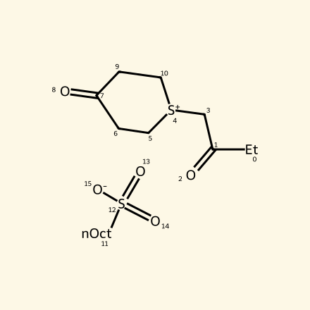 CCC(=O)C[S+]1CCC(=O)CC1.CCCCCCCCS(=O)(=O)[O-]